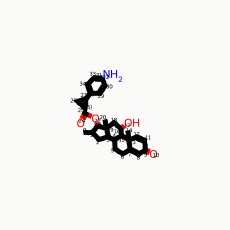 CC1CC2C3CCC4=CC(=O)C=CC4(C)C3C(O)CC2(C)C1OC(=O)[C@H]1CC1c1ccc(N)cc1